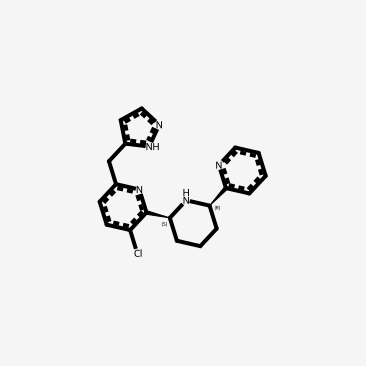 Clc1ccc(Cc2ccn[nH]2)nc1[C@@H]1CCC[C@H](c2ccccn2)N1